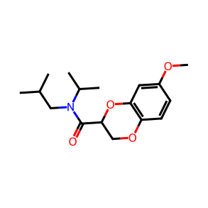 COc1ccc2c(c1)OC(C(=O)N(CC(C)C)C(C)C)CO2